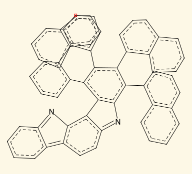 c1ccc(-c2ccccc2-c2c3c(c(-c4cccc5ccccc45)c(-c4cccc5ccccc45)c2-c2cccc4ccccc24)N=c2ccc4c(c2-3)N=c2ccccc2=4)cc1